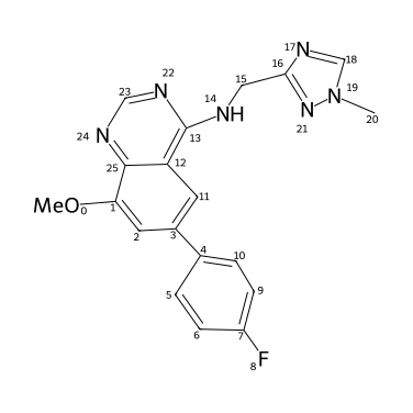 COc1cc(-c2ccc(F)cc2)cc2c(NCc3ncn(C)n3)ncnc12